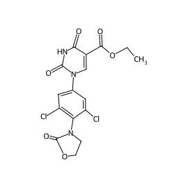 CCOC(=O)c1cn(-c2cc(Cl)c(N3CCOC3=O)c(Cl)c2)c(=O)[nH]c1=O